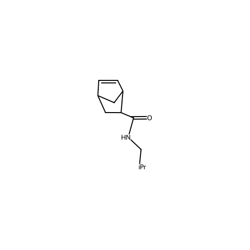 CC(C)CNC(=O)C1CC2C=CC1C2